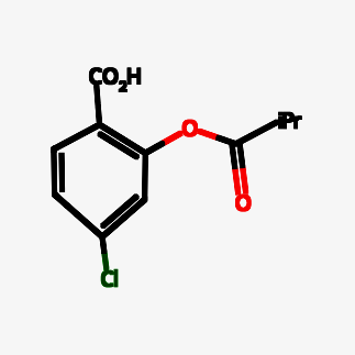 CC(C)C(=O)Oc1cc(Cl)ccc1C(=O)O